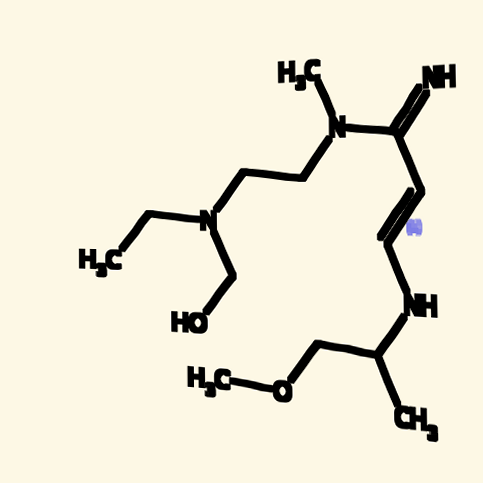 CCN(CO)CCN(C)C(=N)/C=C/NC(C)COC